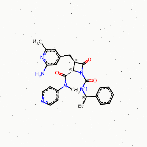 CC[C@@H](NC(=O)N1C(=O)[C@H](Cc2cc(C)nc(N)c2)[C@H]1C(=O)N(C)c1ccncc1)c1ccccc1